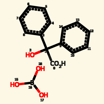 O=C(O)C(O)(c1ccccc1)c1ccccc1.OB(O)O